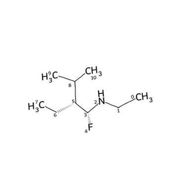 CCN[C@H](F)[C@H](CC)C(C)C